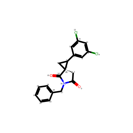 O=C1C[C@@]2(CC2c2cc(Cl)cc(Cl)c2)C(=O)N1Cc1ccccc1